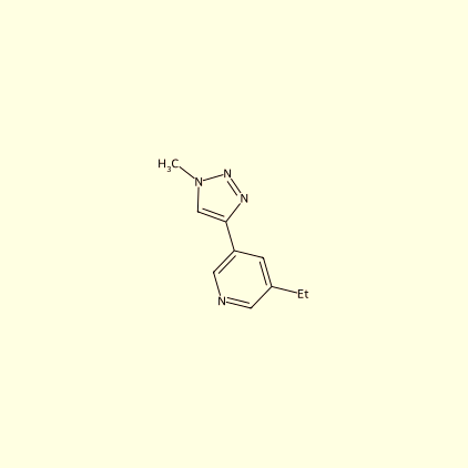 CCc1cncc(-c2cn(C)nn2)c1